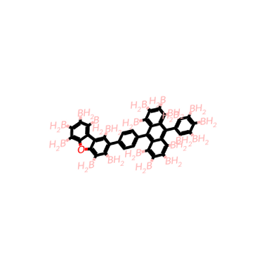 Bc1c(B)c(B)c(-c2c3c(B)c(B)c(B)c(B)c3c(-c3ccc(-c4c(B)c(B)c5oc6c(B)c(B)c(B)c(B)c6c5c4B)cc3)c3c(B)c(B)c(B)c(B)c23)c(B)c1B